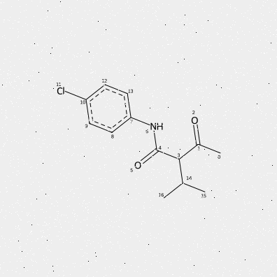 CC(=O)C(C(=O)Nc1ccc(Cl)cc1)C(C)C